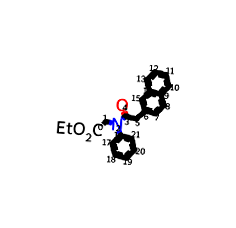 CCOC(=O)CN(C(=O)Cc1ccc2ccccc2c1)c1ccccc1